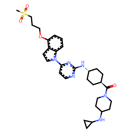 CS(=O)(=O)CCCOc1cccc2c1ccn2-c1ccnc(N[C@H]2CC[C@H](C(=O)N3CCC(NC4CC4)CC3)CC2)n1